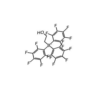 OCC[B-](c1c(F)c(F)c(F)c(F)c1F)(c1c(F)c(F)c(F)c(F)c1F)c1c(F)c(F)c(F)c(F)c1F